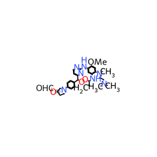 C=CC(=O)Nc1cc(Nc2nccc(C(=O)c3ccc(N4CC[C@H](OC=O)C4)cc3)n2)c(OC)cc1N(C)CCN(C)C